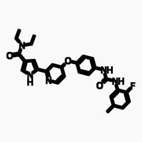 CCN(CC)C(=O)c1c[nH]c(C2=NC=CC(Oc3ccc(NC(=O)NC4=CC(C)CC=C4F)cc3)C2)c1